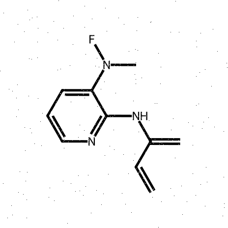 C=CC(=C)Nc1ncccc1N(C)F